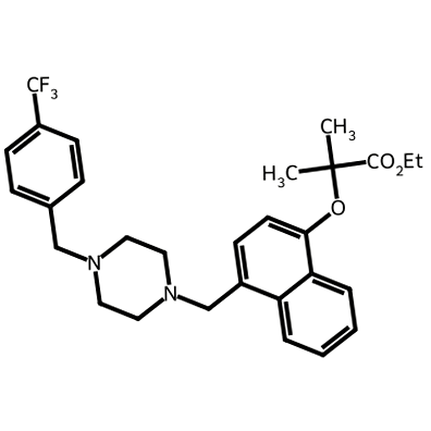 CCOC(=O)C(C)(C)Oc1ccc(CN2CCN(Cc3ccc(C(F)(F)F)cc3)CC2)c2ccccc12